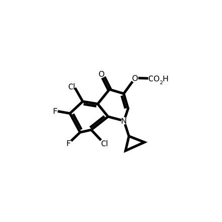 O=C(O)Oc1cn(C2CC2)c2c(Cl)c(F)c(F)c(Cl)c2c1=O